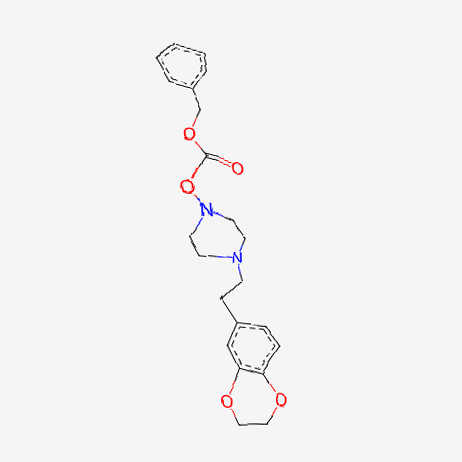 O=C(OCc1ccccc1)ON1CCN(CCc2ccc3c(c2)OCCO3)CC1